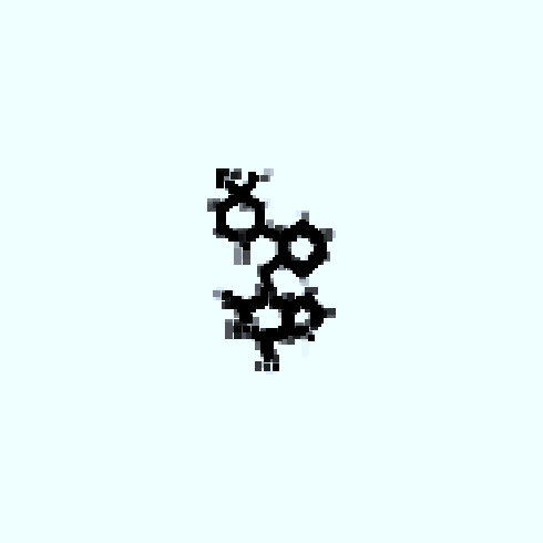 O=c1[nH]c(=S)n(Cc2ccccc2C2CC(F)(F)CCN2)c2cc[nH]c12